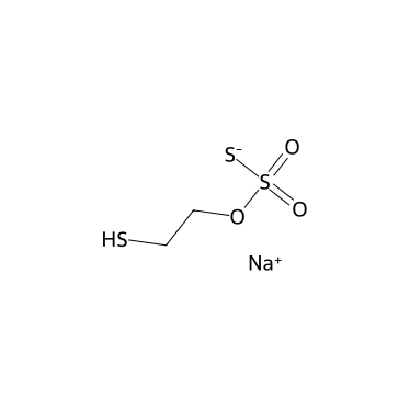 O=S(=O)([S-])OCCS.[Na+]